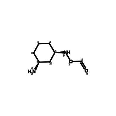 N[C@H]1CCC[C@@H](NOC=O)C1